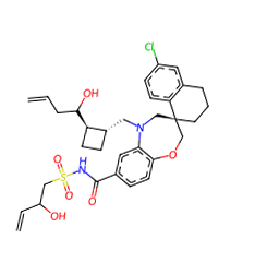 C=CCC(O)[C@@H]1CC[C@H]1CN1C[C@@]2(CCCc3cc(Cl)ccc32)COc2ccc(C(=O)NS(=O)(=O)CC(O)C=C)cc21